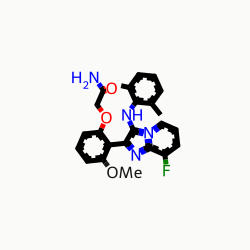 COc1cccc(OCC(N)=O)c1-c1nc2c(F)cccn2c1Nc1c(C)cccc1C